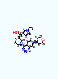 CCn1cc([C@H](O)[C@H]2CCCN(c3nnnc4cc(N5CCOCC5)ccc34)C2)cn1